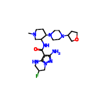 CN1CCC(N2CCN(C3CCOC3)CC2)C(NC(=O)c2c(N)nn3c2NCC(F)C3)C1